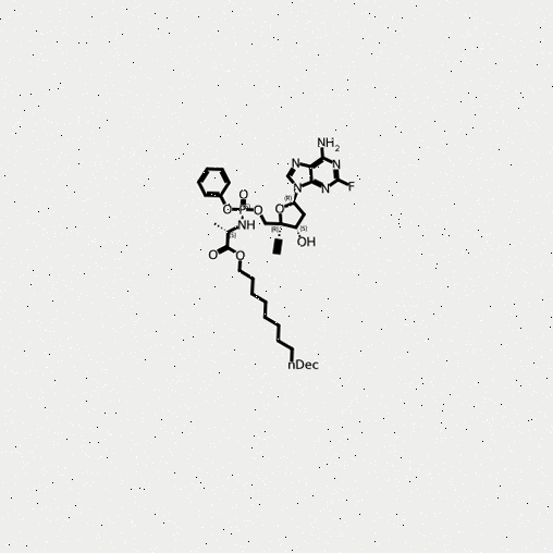 C#C[C@]1(CO[P@@](=O)(N[C@@H](C)C(=O)OCCCCCCCCCCCCCCCCCC)Oc2ccccc2)O[C@@H](n2cnc3c(N)nc(F)nc32)C[C@@H]1O